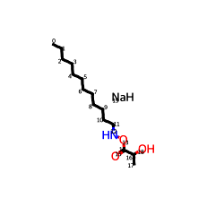 CCCCCCCCCCCCNOC(=O)C(C)O.[NaH]